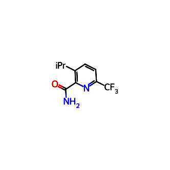 CC(C)c1ccc(C(F)(F)F)nc1C(N)=O